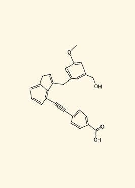 COc1cc(CO)cc(CC2=CCc3cccc(C#Cc4ccc(C(=O)O)cc4)c32)c1